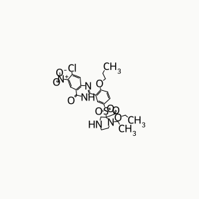 CCCOc1ccc(S(=O)(=O)C2(C(=O)OCC)CNCCN2CC)cc1-c1nc2cc(Cl)c([N+](=O)[O-])cc2c(=O)[nH]1